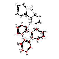 c1ccc(-c2ccccc2-c2c(-c3ccccc3)nnnc2-c2ccc3oc4ccccc4c3c2-c2ccccc2-c2ccccc2)cc1